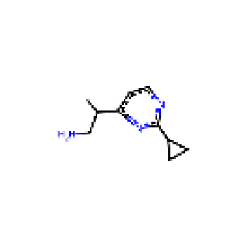 CC(CN)c1ccnc(C2CC2)n1